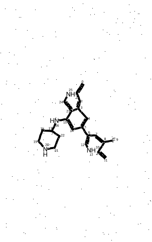 C=C/C=c1/cc(C(/C=C(/F)C=C)=C/N)cc(NC2CCNCC2)/c1=C/N